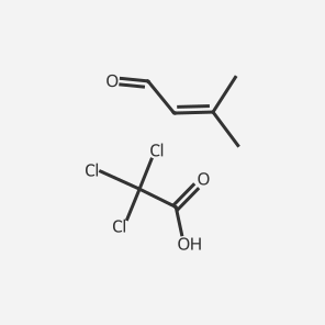 CC(C)=CC=O.O=C(O)C(Cl)(Cl)Cl